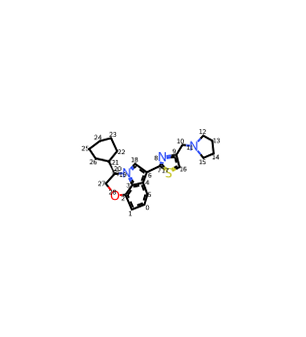 c1cc2c3c(c1)c(-c1nc(CN4CCCC4)cs1)cn3[C@H](C1CCCCC1)CO2